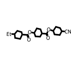 CCC1CCC(C(=O)OC2CCC(C(=O)OC3CCC(C#N)CC3)CC2)CC1